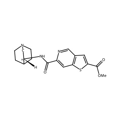 COC(=O)c1cc2cnc(C(=O)N[C@H]3CN4CCC3CC4)cc2s1